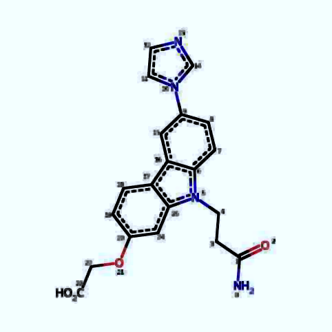 NC(=O)CCn1c2ccc(-n3ccnc3)cc2c2ccc(OCC(=O)O)cc21